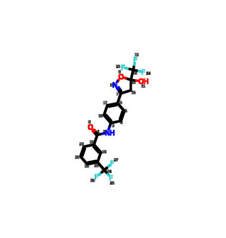 O=C(Nc1ccc(C2=NOC(O)(C(F)(F)F)C2)cc1)c1cccc(C(F)(F)F)c1